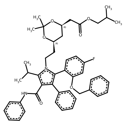 CC(C)COC(=O)C[C@H]1C[C@@H](CCn2c(-c3ccc(F)cc3OCc3ccccc3)c(-c3ccccc3)c(C(=O)Nc3ccccc3)c2C(C)C)OC(C)(C)O1